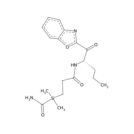 CCC[C@H](NC(=O)[CH]C[Si](C)(C)C(N)=O)C(=O)c1nc2ccccc2o1